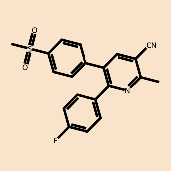 Cc1nc(-c2ccc(F)cc2)c(-c2ccc(S(C)(=O)=O)cc2)cc1C#N